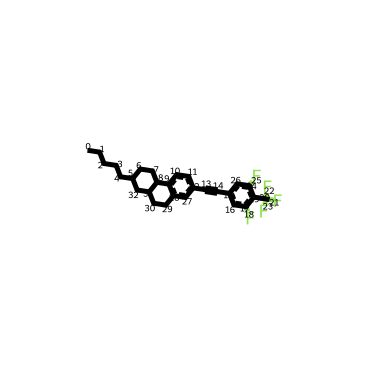 CCCCCC1CCC2c3ccc(C#Cc4cc(F)c(C(F)(F)F)c(F)c4)cc3CCC2C1